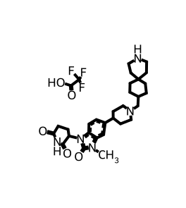 Cn1c(=O)n(C2CCC(=O)NC2=O)c2ccc(C3CCN(CC4CCC5(CCNCC5)CC4)CC3)cc21.O=C(O)C(F)(F)F